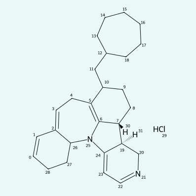 C1=CC2=CCC3=C4[C@H](CCC3CC3CCCCCC3)[C@H]3CN=CC=C3N4C2CC1.Cl